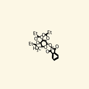 CCC(=O)O[C@H]1[C@H](OC(=O)CC)[C@H](ON2C(=O)c3ccccc3C2=O)O[C@@H](C)[C@H]1OC(=O)CC